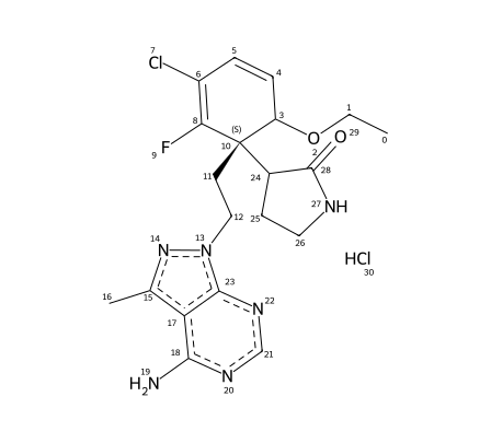 CCOC1C=CC(Cl)=C(F)[C@@]1(CCn1nc(C)c2c(N)ncnc21)C1CCNC1=O.Cl